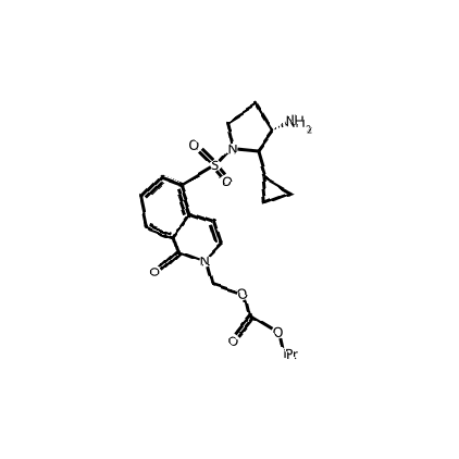 CC(C)OC(=O)OCn1ccc2c(S(=O)(=O)N3CC[C@H](N)C3C3CC3)cccc2c1=O